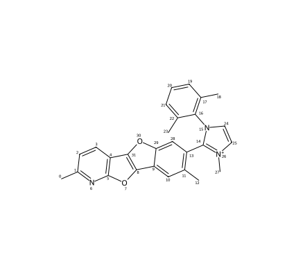 Cc1ccc2c(n1)oc1c3cc(C)c(-c4n(-c5c(C)cccc5C)cc[n+]4C)cc3oc21